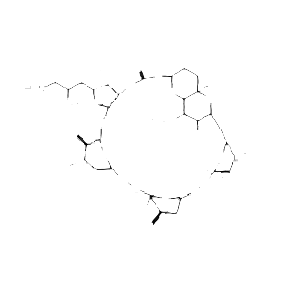 C=C1CC2CC[C@@H]3C[C@@H](O)C(O3)C3O[C@H]4CCC(CC(=O)CC5C(C[C@H]6O[C@@H](CC[C@@H]1O2)C[C@@H](C)C6=C)OC(CC(O)CN)[C@@H]5OC)OC4C(OC)C3I